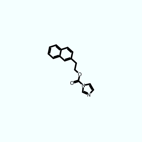 O=C(OCCc1ccc2ccccc2c1)n1ccnc1